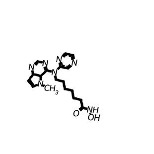 CN1C=CC2N=CN=C(N(CCCCCCC(=O)NO)c3cnccn3)C21